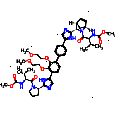 COCCOc1c(-c2ccc(-c3cnc([C@@H]4[C@H]5C=C[C@H](C5)N4C(=O)[C@@H](NC(=O)OC)C(C)C)[nH]3)cc2)ccc(-c2cnc([C@@H]3CCCN3C(=O)[C@@H](NC(=O)OC)C(C)C)[nH]2)c1OCCOC